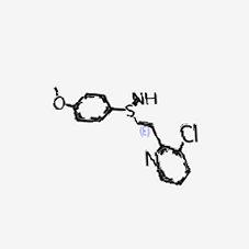 COc1ccc(S(=N)/C=C/c2ncccc2Cl)cc1